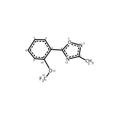 Cc1noc(-c2c[c]ccc2OC(F)(F)F)n1